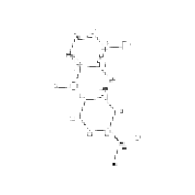 COc1cccc(F)c1CN1CCC[C@H](C(C)C)C1